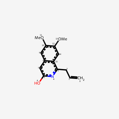 C=CCc1nc(O)cc2cc(OC)c(OC)cc12